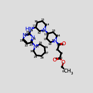 CCOC(=O)CCC(=O)N1CCC(N2CCCC(Nc3nccc(N4CCCCCC4)n3)C2)CC1